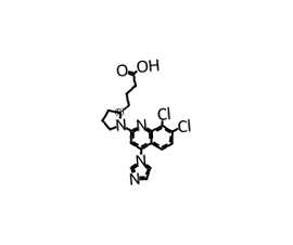 O=C(O)CCC[C@@H]1CCCN1c1cc(-n2ccnc2)c2ccc(Cl)c(Cl)c2n1